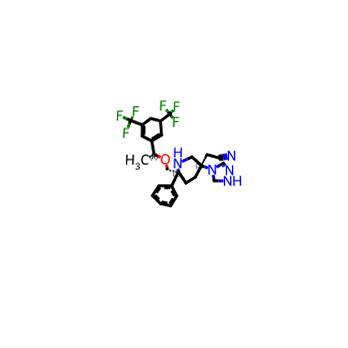 C[C@@H](OC[C@@]1(c2ccccc2)CC[C@@](CC#N)(N2C=NNC2)CN1)C1=CC(C(F)(F)F)CC(C(F)(F)F)=C1